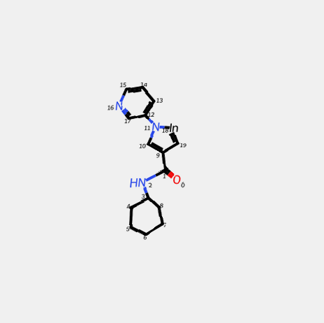 O=C(NC1CCCCC1)C1=C[N](c2cccnc2)[In]=[CH]1